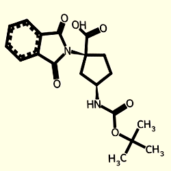 CC(C)(C)OC(=O)N[C@@H]1CC[C@](C(=O)O)(N2C(=O)c3ccccc3C2=O)C1